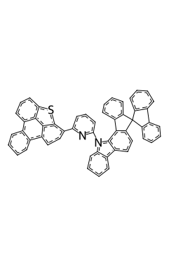 c1cc(-c2ccc3c4ccccc4c4cccc5sc2c3c54)nc(-n2c3ccccc3c3ccc4c(c32)-c2ccccc2C42c3ccccc3-c3ccccc32)c1